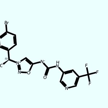 C[C@@H](c1ccc(Br)cc1)[n+]1cc([N-]C(=O)Nc2cncc(C(F)(F)F)c2)on1